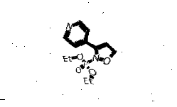 CCOP(=O)(OCC)N1OCC=C1c1ccncc1